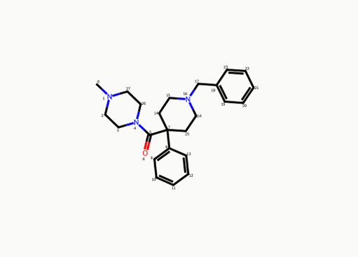 CN1CCN(C(=O)C2(c3ccccc3)CCN(Cc3ccccc3)CC2)CC1